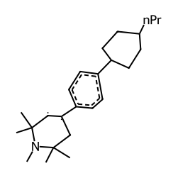 CCCC1CCC(c2ccc([C]3[CH]C(C)(C)N(C)C(C)(C)C3)cc2)CC1